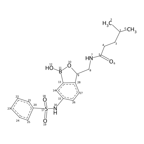 CC(C)CCC(=O)NCC1OB(O)c2cc(NS(=O)(=O)c3ccccc3)ccc21